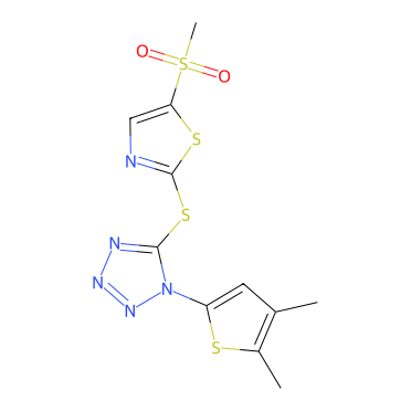 Cc1cc(-n2nnnc2Sc2ncc(S(C)(=O)=O)s2)sc1C